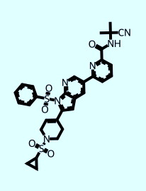 CC(C)(C#N)NC(=O)c1cccc(-c2cnc3c(c2)cc(C2=CCN(S(=O)(=O)C4CC4)CC2)n3S(=O)(=O)c2ccccc2)n1